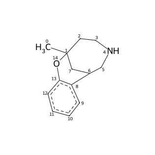 CC12CCNCC(C1)c1ccccc1O2